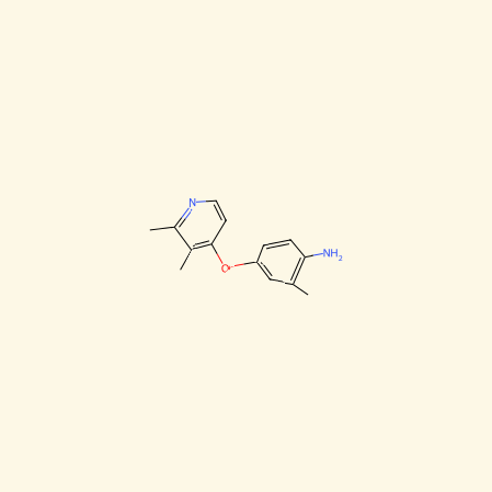 Cc1cc(Oc2ccnc(C)c2C)ccc1N